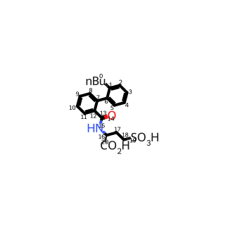 CCCCc1ccccc1-c1ccccc1C(=O)N[C@@H](CCS(=O)(=O)O)C(=O)O